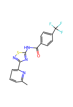 Cc1cccc(-c2nsc(NC(=O)c3ccc(C(F)(F)F)cc3)n2)n1